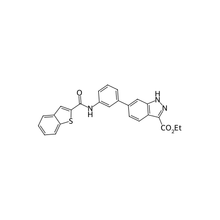 CCOC(=O)c1n[nH]c2cc(-c3cccc(NC(=O)c4cc5ccccc5s4)c3)ccc12